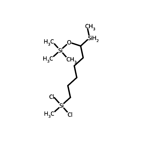 C[SiH2]C(CCCCC[Si](C)(Cl)Cl)O[Si](C)(C)C